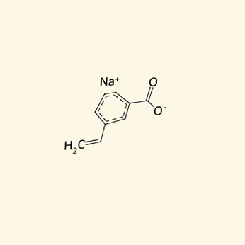 C=Cc1cccc(C(=O)[O-])c1.[Na+]